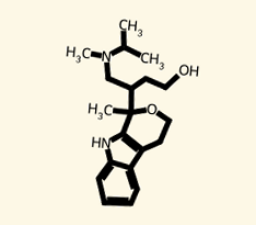 CC(C)N(C)CC(CCO)C1(C)OCCc2c1[nH]c1ccccc21